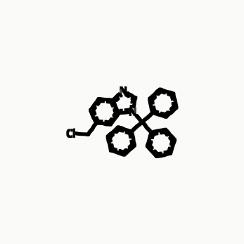 ClCc1ccc2ncn(C(c3ccccc3)(c3ccccc3)c3ccccc3)c2c1